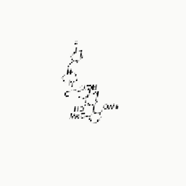 COc1cccc(OC)c1-c1cnc(O)c(CC(OC)C(=O)N2CCN(Cc3cccc(F)c3)CC2)c1O